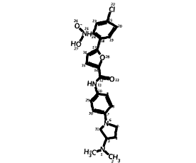 CN(C)C1CCN(c2ccc(NC(=O)c3ccc(-c4ccc(Cl)cc4[NH+]([O-])O)o3)cc2)C1